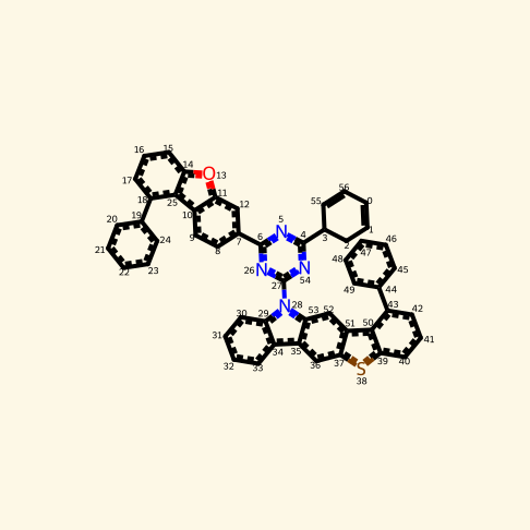 C1=CCC(c2nc(-c3ccc4c(c3)oc3cccc(-c5ccccc5)c34)nc(-n3c4ccccc4c4cc5sc6cccc(-c7ccccc7)c6c5cc43)n2)C=C1